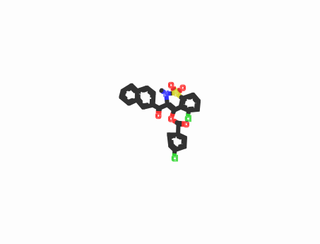 CN1C(C(=O)c2ccc3ccccc3c2)=C(OC(=O)c2ccc(Cl)cc2)c2c(Cl)cccc2S1(=O)=O